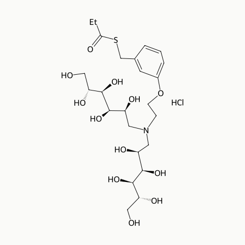 CCC(=O)SCc1cccc(OCCN(C[C@H](O)[C@@H](O)[C@H](O)[C@H](O)CO)C[C@H](O)[C@@H](O)[C@H](O)[C@H](O)CO)c1.Cl